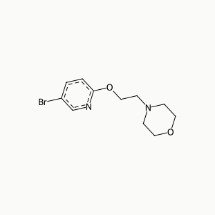 Brc1ccc(OCCN2CCOCC2)nc1